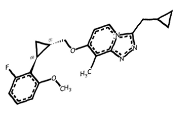 COc1cccc(F)c1[C@H]1C[C@@H]1COc1ccn2c(CC3CC3)nnc2c1C